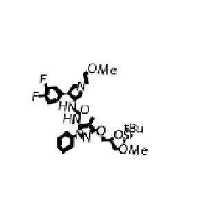 COCCN1C[C@@H](NC(=O)Nc2c(C)c(OC[C@H](COC)O[Si](C)(C)C(C)(C)C)nn2-c2ccccc2)[C@H](c2ccc(F)c(F)c2)C1